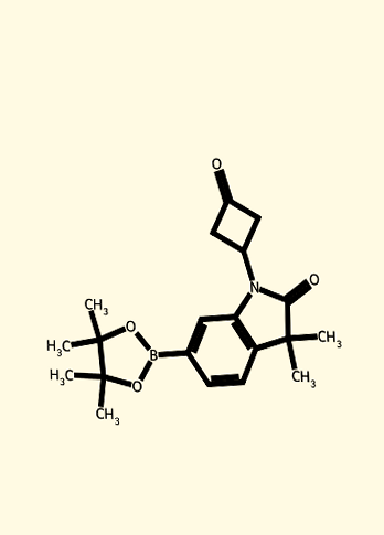 CC1(C)C(=O)N(C2CC(=O)C2)c2cc(B3OC(C)(C)C(C)(C)O3)ccc21